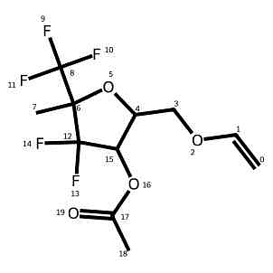 C=COCC1OC(C)(C(F)(F)F)C(F)(F)C1OC(C)=O